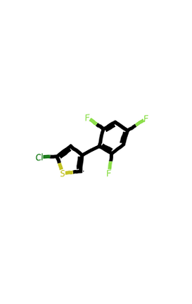 Fc1cc(F)c(-c2[c]sc(Cl)c2)c(F)c1